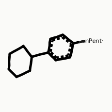 [CH2]CCC[CH]c1ccc(C2CCCCC2)cc1